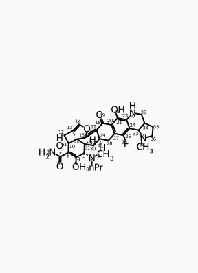 CCCN(C)[C@@H]1C(O)=C(C(N)=O)[C@@]2(O)CC3=COC4=C5C(=O)c6c(O)c7c(c(F)c6C[C@H]5C[C@@H]1[C@]342)C1C(CCN1C)CN7